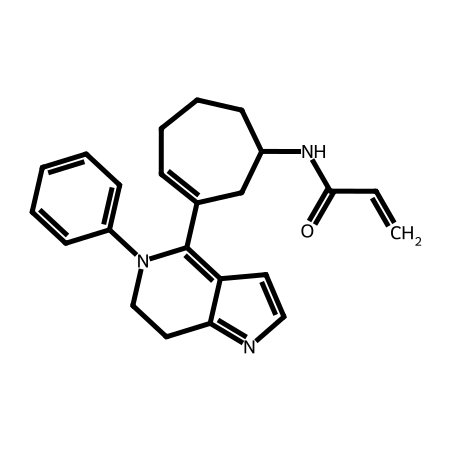 C=CC(=O)NC1CCCC=C(C2=C3C=CN=C3CCN2c2ccccc2)C1